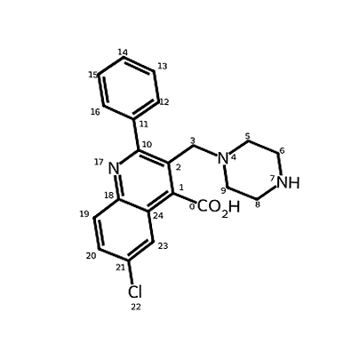 O=C(O)c1c(CN2CCNCC2)c(-c2ccccc2)nc2ccc(Cl)cc12